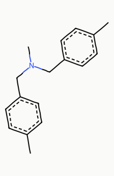 Cc1ccc(CN(C)Cc2ccc(C)cc2)cc1